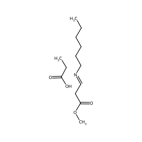 CCC(=O)O.CCCCCCN=CCC(=O)OC